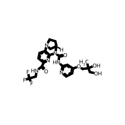 CC(O)(CO)COc1ccnc(NC(=O)N2c3nc(C(=O)NCC(F)(F)F)ccc3N3CC[C@H]2C3)c1